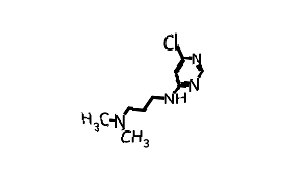 CN(C)CCCNc1cc(Cl)ncn1